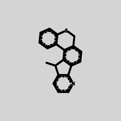 CC1c2cccnc2-c2ccc3c(c21)-c1ccccc1SC3